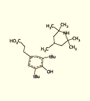 CC(C)(C)c1cc(CCC(=O)O)cc(C(C)(C)C)c1O.CC1CC(C)(C)NC(C)(C)C1